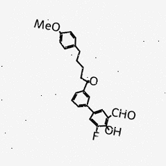 COc1ccc(CCCCC(=O)c2cccc(-c3cc(F)c(O)c(C=O)c3)c2)cc1